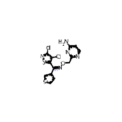 Nc1ccnc(CO/N=C(/c2ccsc2)c2snc(Cl)c2Cl)n1